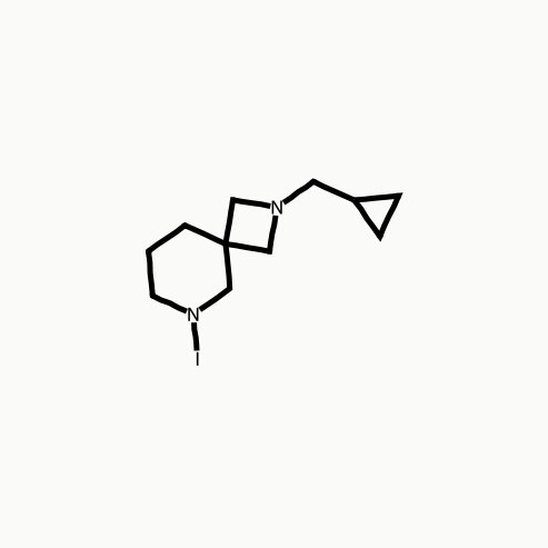 IN1CCCC2(C1)CN(CC1CC1)C2